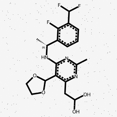 Cc1nc(CC(O)O)c(C2OCCO2)c(N[C@H](C)c2cccc(C(F)F)c2F)n1